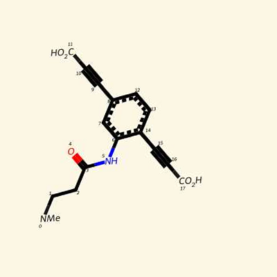 CNCCC(=O)Nc1cc(C#CC(=O)O)ccc1C#CC(=O)O